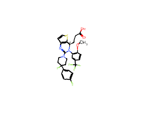 COc1ccc(C(F)(F)F)cc1N1C(N2CCC(F)(c3ccc(F)cc3)CC2)=Nc2ccsc2[C@H]1CCC(=O)O